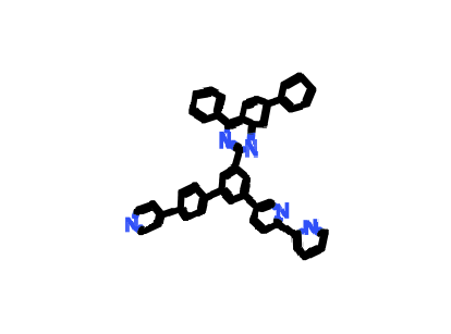 c1ccc(-c2ccc3c(-c4ccccc4)nc(-c4cc(-c5ccc(-c6ccncc6)cc5)cc(-c5ccc(-c6ccccn6)nc5)c4)nc3c2)cc1